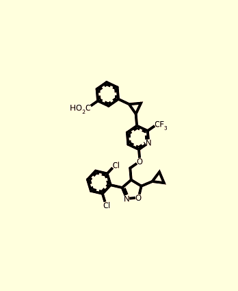 O=C(O)c1cccc(C2CC2c2ccc(OCC3C(c4c(Cl)cccc4Cl)=NOC3C3CC3)nc2C(F)(F)F)c1